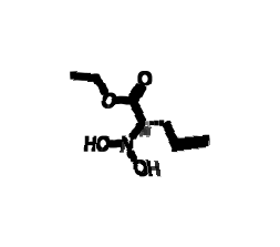 C=CC[C@@H](C(=O)OCC)N(O)O